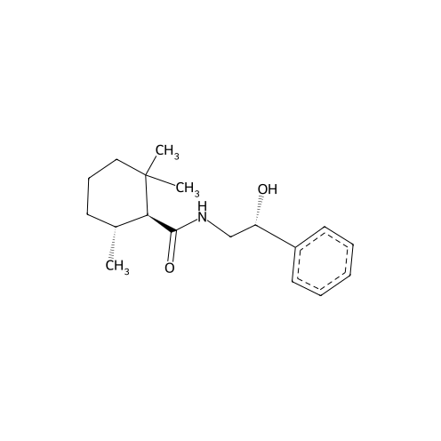 C[C@@H]1CCCC(C)(C)[C@H]1C(=O)NC[C@H](O)c1ccccc1